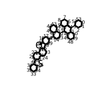 c1ccc(-c2c3ccccc3c(-c3ccc(-c4ccc5oc6c(ccc7c6ccc6c8ccccc8sc67)c5c4)c4ccccc34)c3ccccc23)cc1